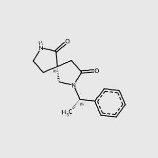 C[C@@H](c1ccccc1)N1C[C@@]2(CCNC2=O)CC1=O